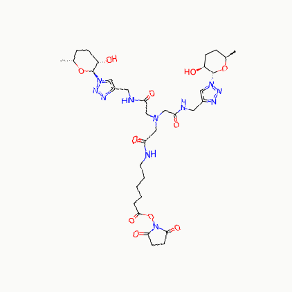 C[C@@H]1CC[C@H](O)[C@@H](n2cc(CNC(=O)CN(CC(=O)NCCCCCC(=O)ON3C(=O)CCC3=O)CC(=O)NCc3cn([C@H]4O[C@H](C)CC[C@@H]4O)nn3)nn2)O1